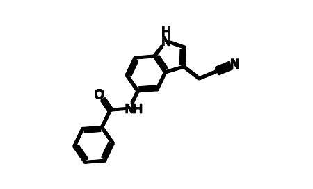 N#CCc1c[nH]c2ccc(NC(=O)c3ccccc3)cc12